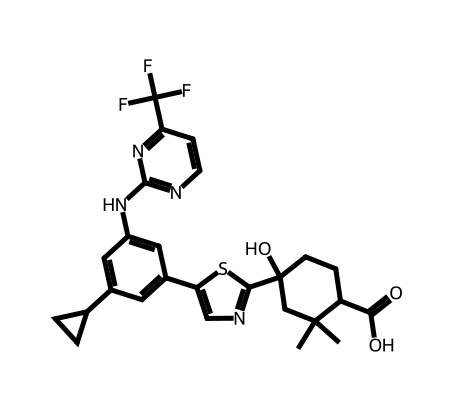 CC1(C)CC(O)(c2ncc(-c3cc(Nc4nccc(C(F)(F)F)n4)cc(C4CC4)c3)s2)CCC1C(=O)O